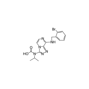 CC(C)N(C(=O)O)c1nnc2c(NCc3ccccc3Br)nccn12